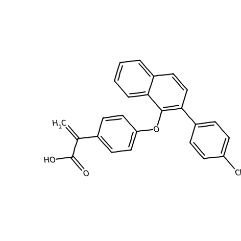 C=C(C(=O)O)c1ccc(Oc2c(-c3ccc(Cl)cc3)ccc3ccccc23)cc1